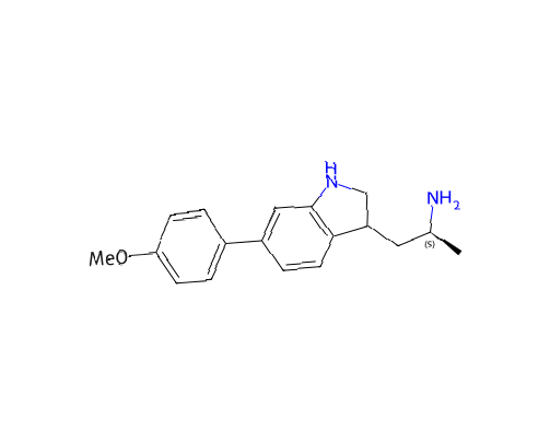 COc1ccc(-c2ccc3c(c2)NCC3C[C@H](C)N)cc1